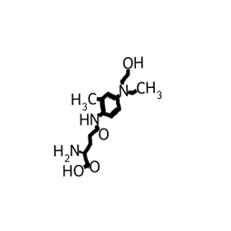 CCN(CCO)c1ccc(NC(=O)CC[C@H](N)C(=O)O)c(C)c1